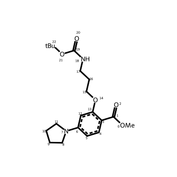 COC(=O)c1ccc(N2CCCC2)cc1OCCCNC(=O)OC(C)(C)C